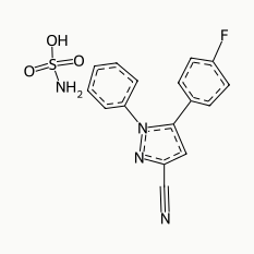 N#Cc1cc(-c2ccc(F)cc2)n(-c2ccccc2)n1.NS(=O)(=O)O